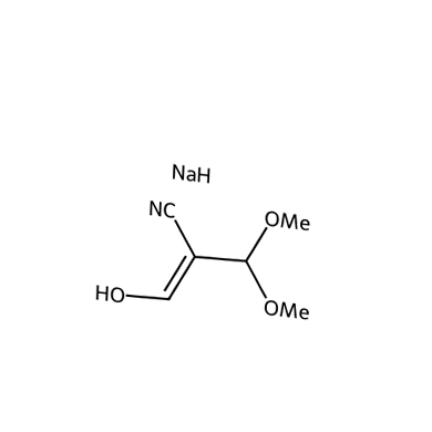 COC(OC)C(C#N)=CO.[NaH]